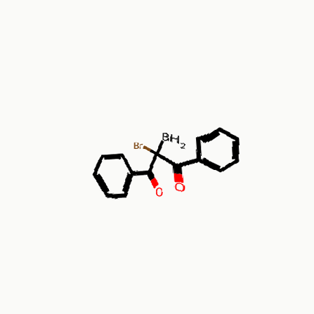 BC(Br)(C(=O)c1ccccc1)C(=O)c1ccccc1